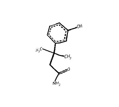 CC(C)(CC(N)=O)c1cccc(O)c1